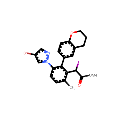 COC(=O)C(I)c1c(C(F)(F)F)ccc(-n2cc(Br)cn2)c1-c1ccc2c(c1)CCCO2